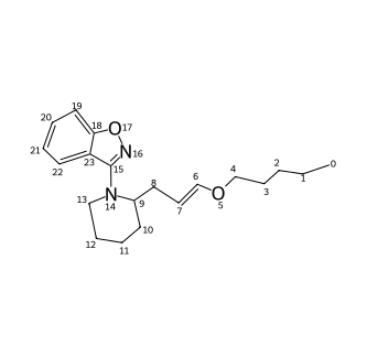 CCCCCOC=CCC1CCCCN1c1noc2ccccc12